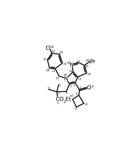 CCOC(=O)C(C)(C)Cc1c(C(=O)C2CCC2)c2cc(C(C)C)cnc2n1Cc1ccc(Cl)cc1